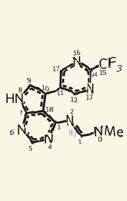 CN/C=N/c1ncnc2[nH]cc(-c3cnc(C(F)(F)F)nc3)c12